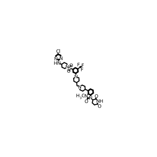 Cn1c(=O)n(C2CCC(=O)NC2=O)c2cccc(C3CCN(CC4CCN(c5cc(C(F)(F)F)cc(S(=O)(=O)N6CCC(Nc7ncc(Cl)cn7)CC6)c5)CC4)CC3)c21